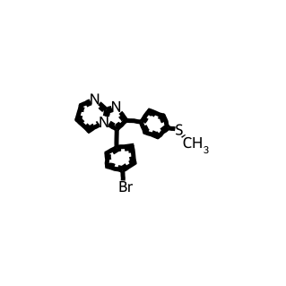 CSc1ccc(-c2nc3ncccn3c2-c2ccc(Br)cc2)cc1